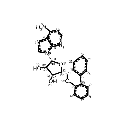 Nc1ncnc2c1ncn2[C@@H]1O[C@H](COc2ccccc2-c2ccccc2)[C@@H](O)[C@H]1O